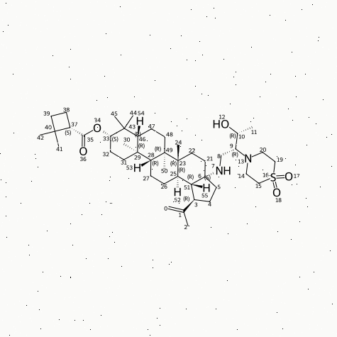 C=C(C)[C@@H]1CC[C@]2(NC[C@H]([C@@H](C)O)N3CCS(=O)(=O)CC3)CC[C@]3(C)[C@H](CC[C@@H]4[C@@]5(C)CC[C@H](OC(=O)[C@H]6CCC6(C)C)C(C)(C)[C@@H]5CC[C@]43C)[C@@H]12